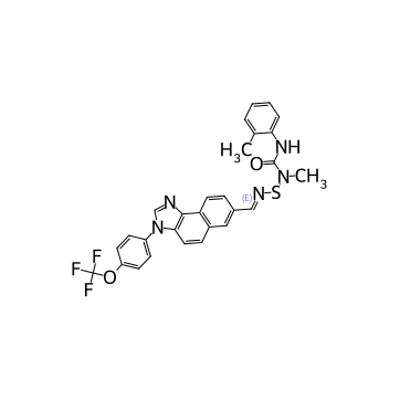 Cc1ccccc1NC(=O)N(C)S/N=C/c1ccc2c(ccc3c2ncn3-c2ccc(OC(F)(F)F)cc2)c1